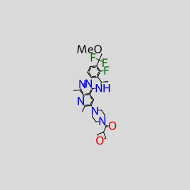 COCC(F)(F)c1cccc([C@@H](C)Nc2nnc(C)c3nc(C)c(N4CCN(C(=O)C5COC5)CC4)cc23)c1F